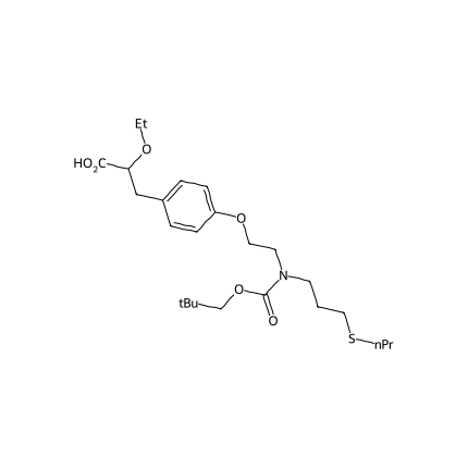 CCCSCCCN(CCOc1ccc(CC(OCC)C(=O)O)cc1)C(=O)OCC(C)(C)C